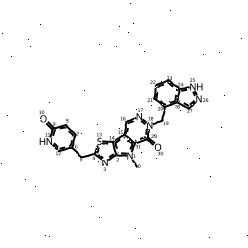 Cn1c2nc(Cc3ccc(=O)[nH]c3)sc2c2cnn(Cc3cccc4[nH]ncc34)c(=O)c21